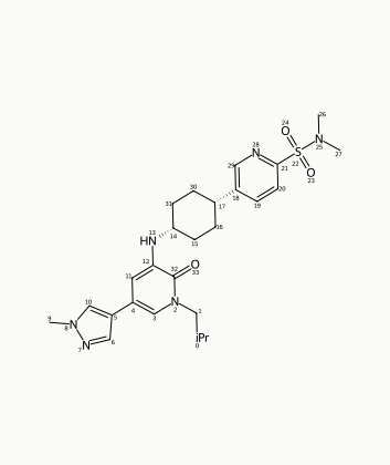 CC(C)Cn1cc(-c2cnn(C)c2)cc(N[C@H]2CC[C@@H](c3ccc(S(=O)(=O)N(C)C)nc3)CC2)c1=O